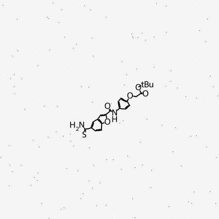 CC(C)(C)OC(=O)COc1ccc(NC(=O)c2cc3cc(C(N)=S)ccc3o2)cc1